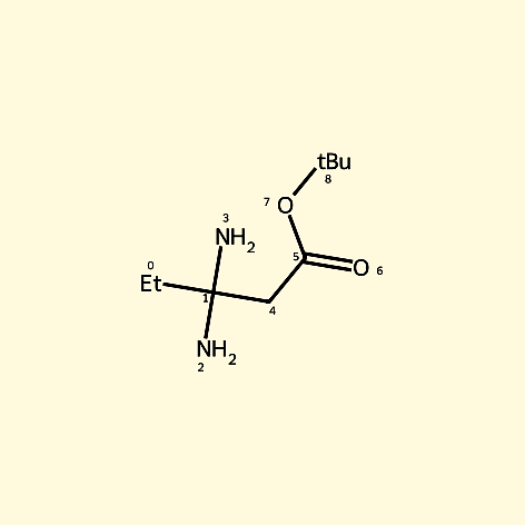 CCC(N)(N)CC(=O)OC(C)(C)C